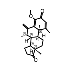 C=C1C2=C(OC)C(=O)C=C(C)[C@]2(C)[C@H]2CC[C@]3(C)C(=O)CC[C@H]3[C@@H]2[C@@H]1C